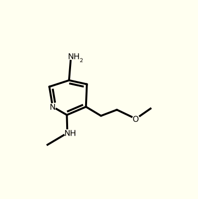 CNc1ncc(N)cc1CCOC